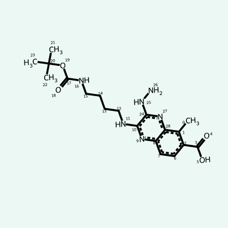 Cc1c(C(=O)O)ccc2nc(NCCCCNC(=O)OC(C)(C)C)c(NN)nc12